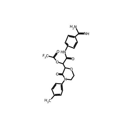 Cc1ccc(N2CCOC(C(OC(=O)C(F)(F)F)C(=O)Nc3ccc(C(=N)N)cc3)C2=O)cc1